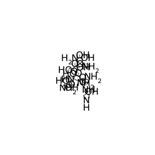 NC[C@@H]1O[C@H](O[C@H]2[C@@H](O)[C@H](O[C@@H]3[C@@H](O)[C@H](NC(=O)[C@@H](O)[C@@H](O)CN)C[C@H](N)[C@H]3O[C@H]3O[C@H](CNCC4(O)CCNCC4)C=C[C@H]3N)O[C@@H]2CO)[C@H](N)[C@@H](O)[C@@H]1O